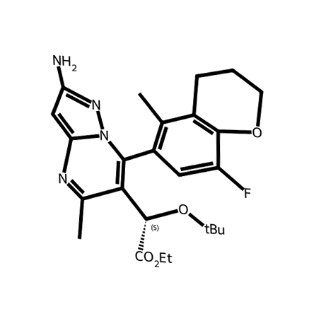 CCOC(=O)[C@@H](OC(C)(C)C)c1c(C)nc2cc(N)nn2c1-c1cc(F)c2c(c1C)CCCO2